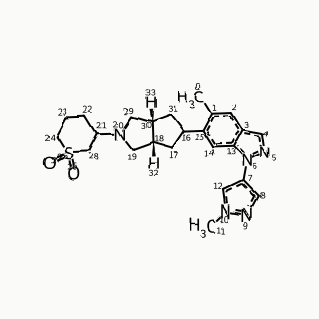 Cc1cc2cnn(-c3cnn(C)c3)c2cc1C1C[C@@H]2CN(C3CCCS(=O)(=O)C3)C[C@@H]2C1